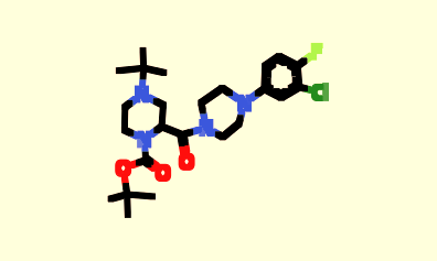 CC(C)(C)OC(=O)N1CCN(C(C)(C)C)CC1C(=O)N1CCN(c2ccc(F)c(Cl)c2)CC1